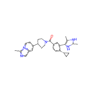 CC1=C(c2cc(C(=O)N3CCC(c4ccn5c(C)ncc5c4)CC3)ccc2C2CC2)NC(C)N1